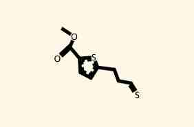 COC(=O)c1ccc(CCC=S)s1